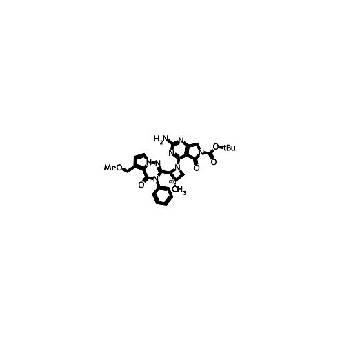 COCc1ccn2nc(C3[C@@H](C)CN3c3nc(N)nc4c3C(=O)N(C(=O)OC(C)(C)C)C4)n(-c3ccccc3)c(=O)c12